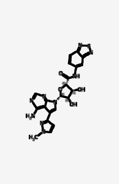 Cn1ccc(-c2cn([C@@H]3O[C@H](C(=O)Nc4ccc5nsnc5c4)[C@@H](O)[C@H]3O)c3ncnc(N)c23)n1